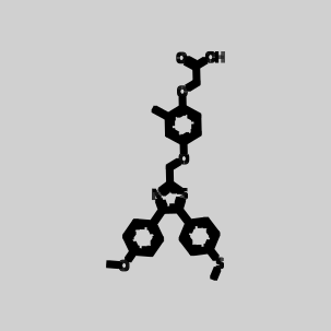 COc1ccc(-c2nc(COc3ccc(OCC(=O)O)c(C)c3)sc2-c2ccc(SC)cc2)cc1